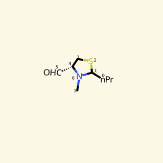 CCCC1SC[C@@H](C=O)N1C